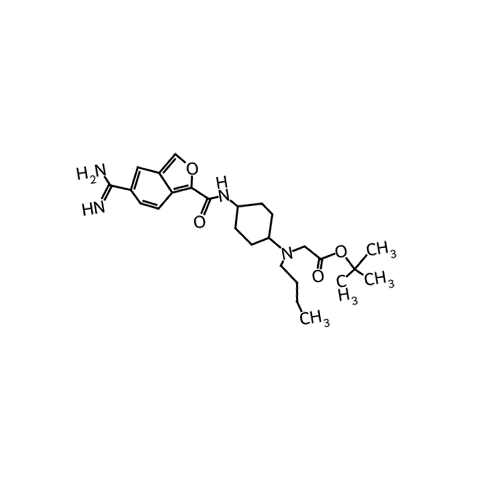 CCCCN(CC(=O)OC(C)(C)C)C1CCC(NC(=O)c2occ3cc(C(=N)N)ccc23)CC1